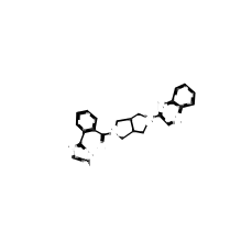 O=C(c1ccccc1-c1nnc[nH]1)N1CC2CN(c3cnc4ccccc4n3)CC2C1